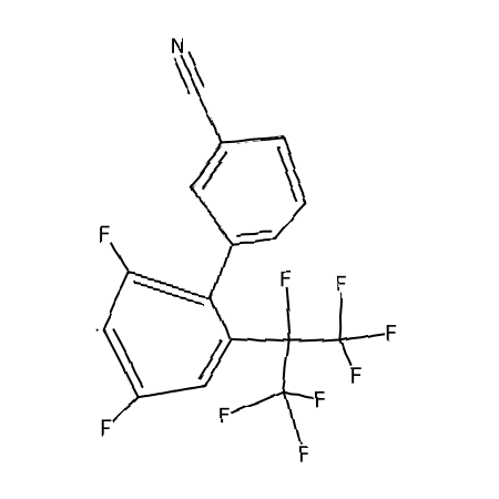 N#Cc1cccc(-c2c(F)[c]c(F)cc2C(F)(C(F)(F)F)C(F)(F)F)c1